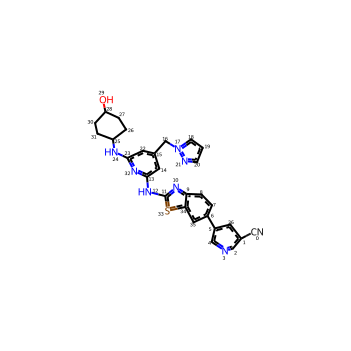 N#Cc1cncc(-c2ccc3nc(Nc4cc(Cn5cccn5)cc(NC5CCC(O)CC5)n4)sc3c2)c1